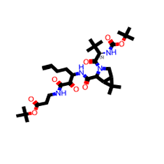 C=CCCC(NC(=O)C1C2C(CN1C(=O)[C@@H](NC(=O)OC(C)(C)C)C(C)(C)C)C2(C)C)C(=O)C(=O)NCCC(=O)OC(C)(C)C